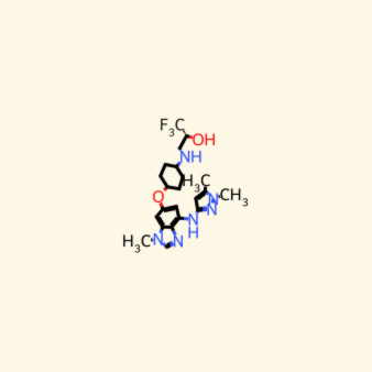 Cc1cc(Nc2cc(OC3CCC(NC[C@@H](O)C(F)(F)F)CC3)cc3c2ncn3C)nn1C